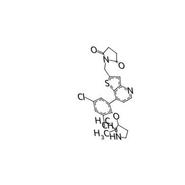 Cc1cc(Cl)cc(-c2ccnc3cc(CN4C(=O)CCC4=O)sc23)c1OC1CCNC1(C)C